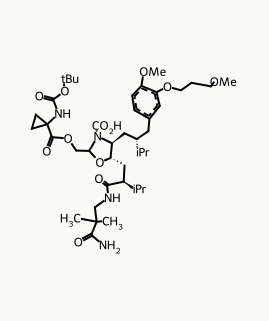 COCCCOc1cc(C[C@@H](C[C@H]2[C@H](C[C@H](C(=O)NCC(C)(C)C(N)=O)C(C)C)OC(COC(=O)C3(NC(=O)OC(C)(C)C)CC3)N2C(=O)O)C(C)C)ccc1OC